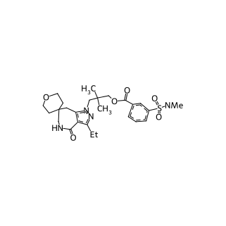 CCc1nn(CC(C)(C)COC(=O)c2cccc(S(=O)(=O)NC)c2)c2c1C(=O)NCC1(CCOCC1)C2